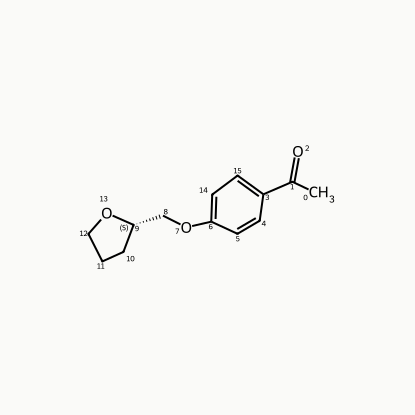 CC(=O)c1ccc(OC[C@@H]2CCCO2)cc1